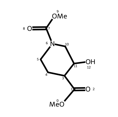 COC(=O)C1CCN(C(=O)OC)CC1O